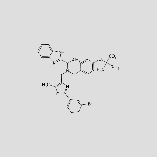 Cc1oc(-c2cccc(Br)c2)nc1CN(Cc1ccc(OC(C)(C)C(=O)O)cc1)C(C)c1nc2ccccc2[nH]1